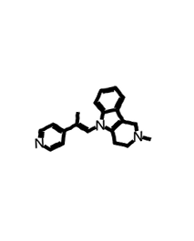 CC(=Cn1c2c(c3ccccc31)CN(C)CC2)c1ccncc1